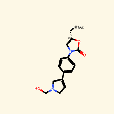 CC(=O)NC[C@H]1CN(c2ccc(C3=CCN(CO)C3)cc2)C(=O)O1